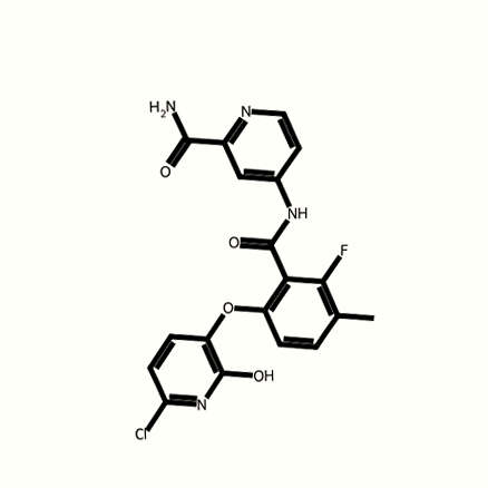 Cc1ccc(Oc2ccc(Cl)nc2O)c(C(=O)Nc2ccnc(C(N)=O)c2)c1F